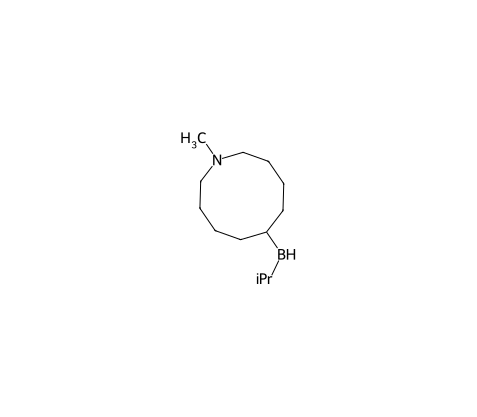 CC(C)BC1CCCCN(C)CCCC1